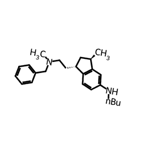 CCCCNc1ccc2c(c1)[C@H](C)C[C@H]2CCN(C)Cc1ccccc1